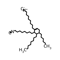 [C-]#[N+]CCCCCCCCC1=CCC(CCCCCC)C(CCCCCCCC)C1CCCCCCCC[N+]#[C-]